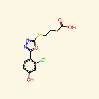 O=C(O)CCCSc1nnc(-c2ccc(O)cc2Cl)o1